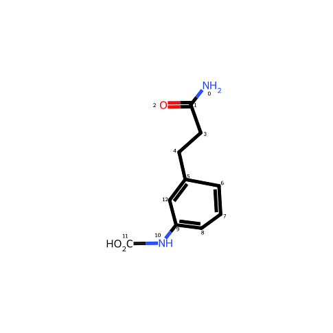 NC(=O)CCc1cccc(NC(=O)O)c1